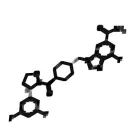 NC(=O)c1cc(F)c2ncn(C[C@H]3CC[C@H](C(=O)N4OCC[C@H]4c4cc(F)cc(F)c4)CC3)c2c1